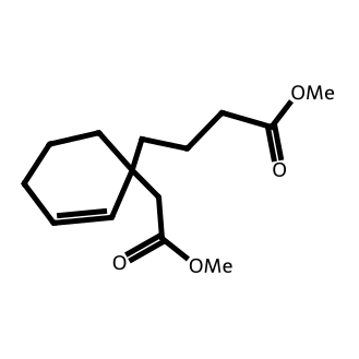 COC(=O)CCCC1(CC(=O)OC)C=CCCC1